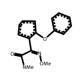 CNC(=O)C(=NOC)c1ccccc1Oc1ccccc1